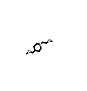 COCCN1CCC(COI)CC1